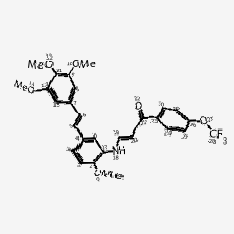 COc1ccc(C=Cc2cc(OC)c(OC)c(OC)c2)cc1NC=CC(=O)c1ccc(OC(F)(F)F)cc1